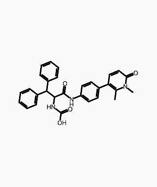 Cc1c(-c2ccc(NC(=O)C(NC(=O)O)C(c3ccccc3)c3ccccc3)cc2)ccc(=O)n1C